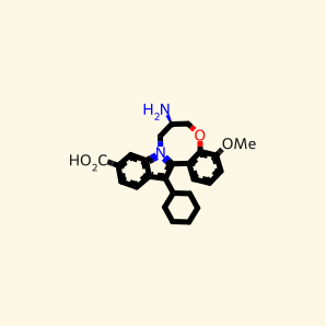 COc1cccc2c1OC[C@H](N)Cn1c-2c(C2CCCCC2)c2ccc(C(=O)O)cc21